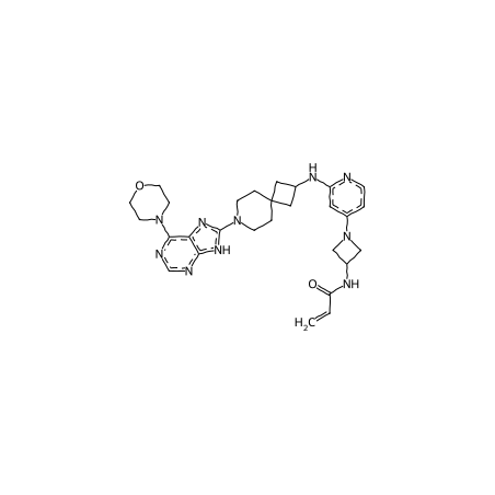 C=CC(=O)NC1CN(c2ccnc(NC3CC4(CCN(c5nc6c(N7CCOCC7)ncnc6[nH]5)CC4)C3)c2)C1